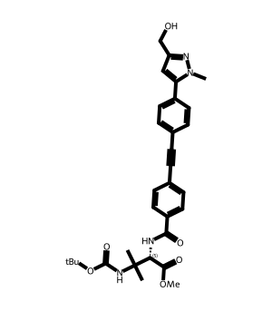 COC(=O)[C@@H](NC(=O)c1ccc(C#Cc2ccc(-c3cc(CO)nn3C)cc2)cc1)C(C)(C)NC(=O)OC(C)(C)C